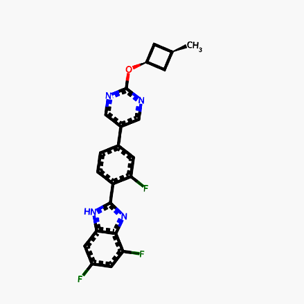 C[C@H]1C[C@@H](Oc2ncc(-c3ccc(-c4nc5c(F)cc(F)cc5[nH]4)c(F)c3)cn2)C1